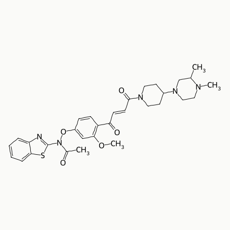 COc1cc(ON(C(C)=O)c2nc3ccccc3s2)ccc1C(=O)C=CC(=O)N1CCC(N2CCN(C)C(C)C2)CC1